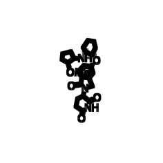 COC1CCCC1N[C@@H]1CCCC[C@@H]1Oc1ccc2c(c1)CN(C1CCC(=O)NC1=O)C2=O